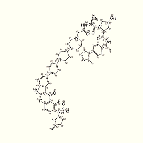 Cc1ncsc1-c1ccc([C@H](C)NC(=O)[C@@H]2C[C@@H](O)CN2C(=O)[C@@H](NC(=O)CN2CCCN(C3CCN(c4ccc(-c5cnc6[nH]cc(C(=O)c7c(F)ccc(N(N8CC[C@@H](F)C8)[SH](=O)=O)c7F)c6c5)cc4)CC3)CC2)C(C)(C)C)cc1